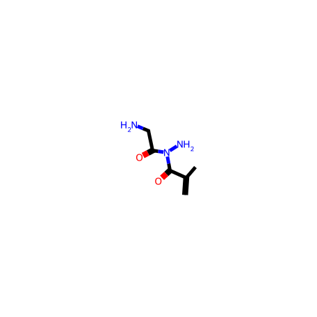 C=C(C)C(=O)N(N)C(=O)CN